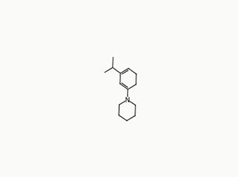 CC(C)C1=CCCC(N2CCCCC2)=C1